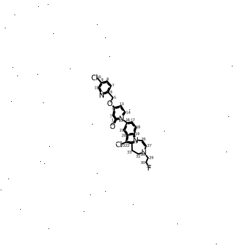 O=c1cc(OCc2ccc(Cl)cn2)ccn1-c1ccc2c(c1)c(Cl)c1n2C=CN(CCF)CC1